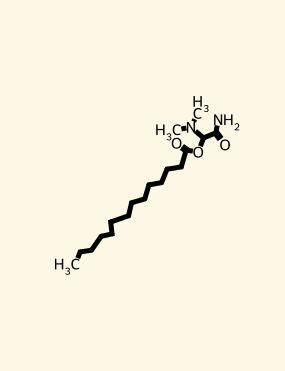 CCCCCCCCCCCCCC(=O)OC(C(N)=O)N(C)C